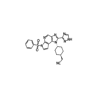 N#CC[C@H]1CC[C@H](n2c(-c3nc[nH]n3)nc3cnc4c(ccn4S(=O)(=O)c4ccccc4)c32)CC1